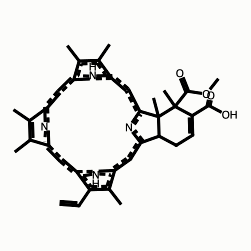 C=Cc1c(C)c2cc3nc(cc4[nH]c(cc5nc(cc1[nH]2)C(C)=C5C)c(C)c4C)C1(C)C3CC=C(C(=O)O)C1(C)C(=O)OC